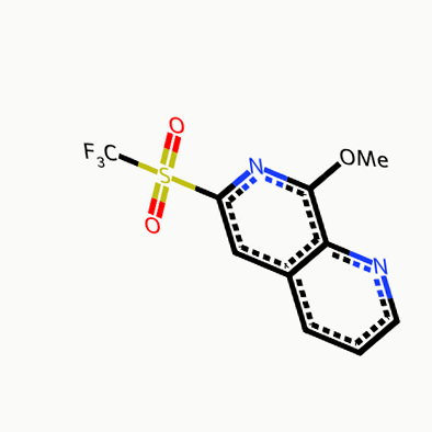 COc1nc(S(=O)(=O)C(F)(F)F)cc2cccnc12